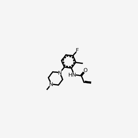 C=CC(=O)Nc1c(N2CCN(C)CC2)ccc(F)c1C